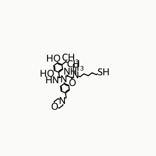 CC(C)c1cc(C(=N)N(C(=N)C(=O)NCCCCCS)c2ccc(CN3CCOCC3)cc2)c(O)cc1O